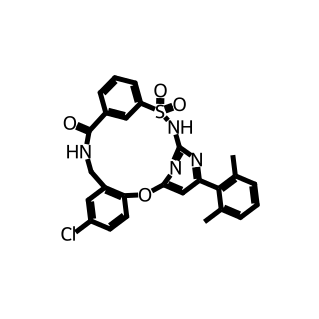 Cc1cccc(C)c1-c1cc2nc(n1)NS(=O)(=O)c1cccc(c1)C(=O)NCc1cc(Cl)ccc1O2